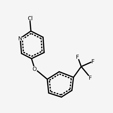 FC(F)(F)c1cccc(Oc2ccc(Cl)nc2)c1